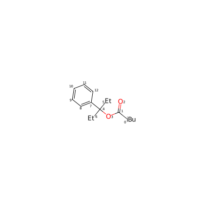 CCC(C)C(=O)OC(CC)(CC)c1ccccc1